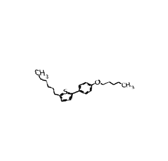 CCCCCCc1ccc(-c2ccc(OCCCCC)cc2)s1